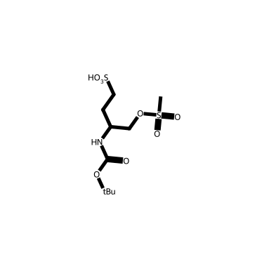 CC(C)(C)OC(=O)NC(CCS(=O)(=O)O)COS(C)(=O)=O